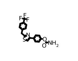 NC(=O)Oc1ccc(-c2csc(Cc3ccc(C(F)(F)F)cc3)n2)cc1